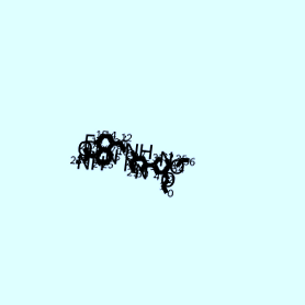 CCOc1cc(-c2cc(NC[C@@H](C)c3ccc(F)c4c(C(=O)NC)ccnc34)ncn2)cnc1OCC